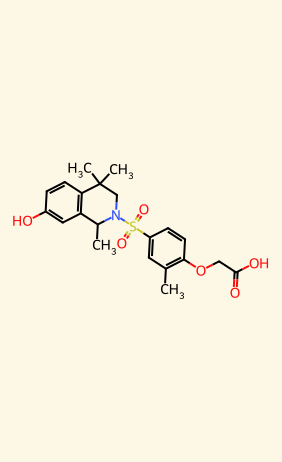 Cc1cc(S(=O)(=O)N2CC(C)(C)c3ccc(O)cc3C2C)ccc1OCC(=O)O